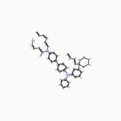 C=C/C=C\C=C\N(/C(C)=C/C=C\CC)c1ccc(-c2ccc(N(c3ccccc3)c3cccc(C4(/C=C/C=C)CCCCC4)c3)cc2)cc1